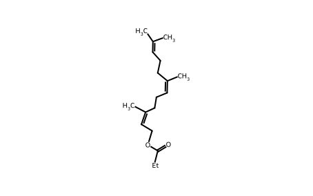 CCC(=O)OCC=C(C)CCC=C(C)CCC=C(C)C